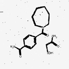 CCCCCCCCCCCC(N)=O.NC(=O)c1ccc(C(=O)N2CCCCCC2)cc1